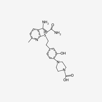 Cc1ccc2c(n1)[SH](CCc1ccc(N3CCN(C(=O)O)CC3)c(O)c1)C(C(N)=O)=C2N